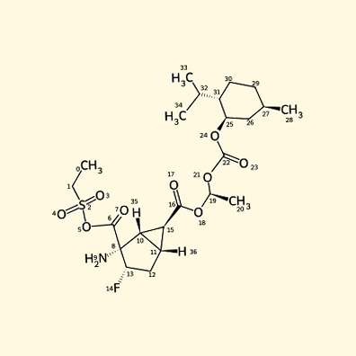 CCS(=O)(=O)OC(=O)[C@@]1(N)[C@H]2[C@@H](C[C@@H]1F)[C@@H]2C(=O)O[C@H](C)OC(=O)O[C@@H]1C[C@H](C)CC[C@H]1C(C)C